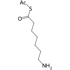 CC(=O)SC(=O)CCCCCCN